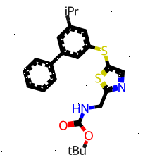 CC(C)c1cc(Sc2cnc(CNC(=O)OC(C)(C)C)s2)cc(-c2ccccc2)c1